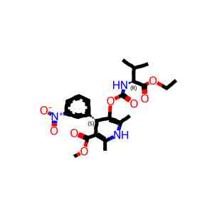 CCOC(=O)[C@H](NC(=O)OC1=C(C)NC(C)=C(C(=O)OC)[C@@H]1c1cccc([N+](=O)[O-])c1)C(C)C